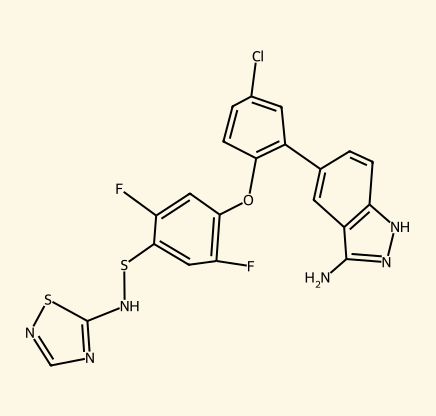 Nc1n[nH]c2ccc(-c3cc(Cl)ccc3Oc3cc(F)c(SNc4ncns4)cc3F)cc12